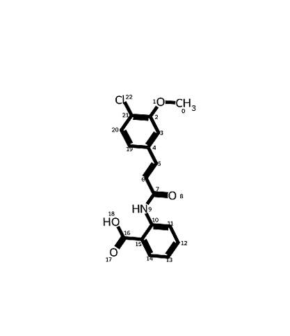 COc1cc(C=CC(=O)Nc2ccccc2C(=O)O)ccc1Cl